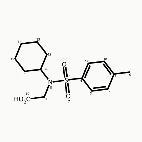 Cc1ccc(S(=O)(=O)N(CC(=O)O)C2CCCCC2)cc1